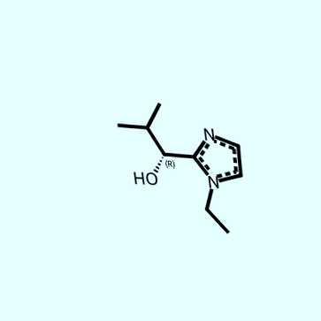 CCn1ccnc1[C@H](O)C(C)C